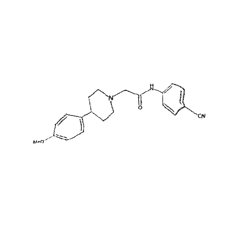 COc1ccc(C2CCN(CC(=O)Nc3ccc(C#N)cc3)CC2)cc1